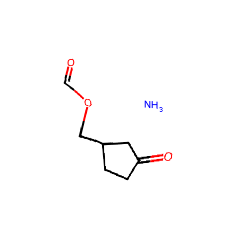 N.O=COCC1CCC(=O)C1